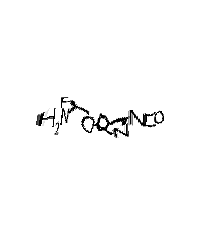 NC/C(=C\F)COc1ccc2cc(N3CCOCC3)ncc2c1